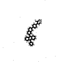 Cc1cnccc1-c1ccc(-c2ccc3ccc(-c4c5ccccc5c(-c5ccccc5)c5ccccc45)cc3c2)cc1